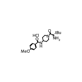 COc1ccc(C(=O)NC2CCN(C(=O)[C@@H](N)C(C)(C)C)CC2)cc1.Cl